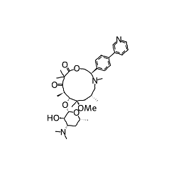 CO[C@]1(C)C[C@@H](C)CN(C)[C@H](c2ccc(-c3cccnc3)cc2)COC(=O)C(C)(C)C(=O)[C@H](C)[C@H]1O[C@@H]1O[C@H](C)C[C@H](N(C)C)[C@H]1O